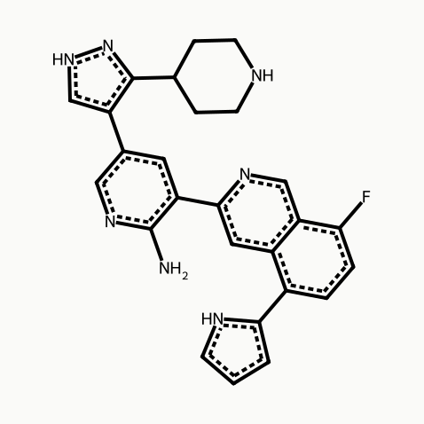 Nc1ncc(-c2c[nH]nc2C2CCNCC2)cc1-c1cc2c(-c3ccc[nH]3)ccc(F)c2cn1